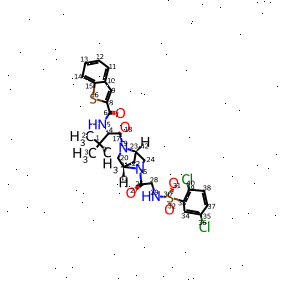 CC(C)(C)[C@H](NC(=O)c1cc2ccccc2s1)C(=O)N1C[C@@H]2C[C@H]1CN2C(=O)CNS(=O)(=O)c1cc(Cl)ccc1Cl